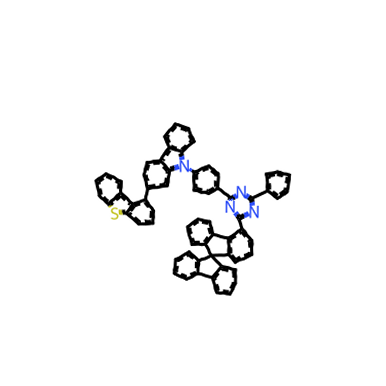 c1ccc(-c2nc(-c3ccc(-n4c5ccccc5c5ccc(-c6cccc7sc8ccccc8c67)cc54)cc3)nc(-c3cccc4c3-c3ccccc3C43c4ccccc4-c4ccccc43)n2)cc1